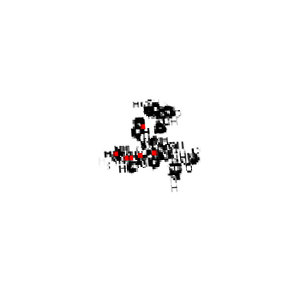 CC(C)C[C@H](NC(=O)[C@@H](Cc1ccc2ccccc2c1)NC(=O)[C@H](Cc1ccc(O)cc1)NC(=O)[C@H](CO)NC(=O)[C@H](Cc1c[nH]c2ccccc12)NC(=O)[C@H](Cc1c[nH]cn1)NC(=O)[C@@H]1CCC(=O)N1)C(=O)N[C@@H](CCCNC(=N)N)C(=O)N1CCC[C@H]1C(=O)NCC(N)=O.C[C@]12CC[C@H]3[C@@H](CCC4=CC(=O)CC[C@@]43C)[C@@H]1CC[C@@H]2O